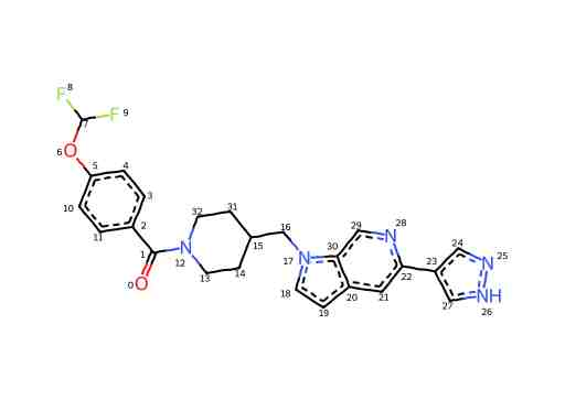 O=C(c1ccc(OC(F)F)cc1)N1CCC(Cn2ccc3cc(-c4cn[nH]c4)ncc32)CC1